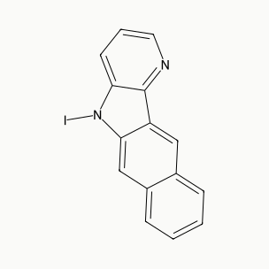 In1c2cc3ccccc3cc2c2ncccc21